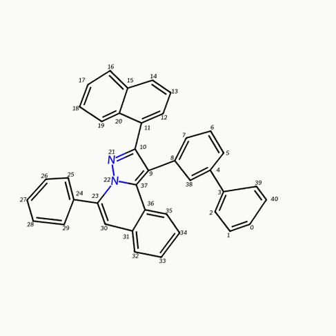 c1ccc(-c2cccc(-c3c(-c4cccc5ccccc45)nn4c(-c5ccccc5)cc5ccccc5c34)c2)cc1